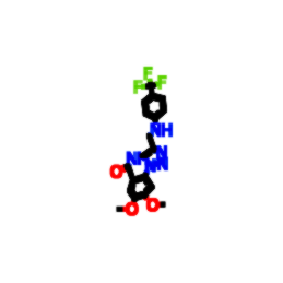 COc1cc(C(N)=O)c(-n2cc(CNc3ccc(C(F)(F)F)cc3)nn2)cc1OC